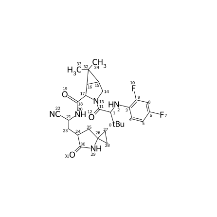 CC(C)(C)C(Nc1ccc(F)cc1F)C(=O)N1CC2C(C1C(=O)NC(C#N)CC1CC3(CC3)NC1=O)C2(C)C